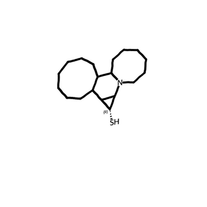 S[C@@H]1C2C3CCCCCCCC3C3CCCCCCN3C21